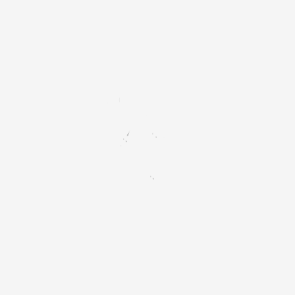 N[C@@H](CCC(=O)O)C(=O)NC(Cc1c[nH]c2ccccc12)C(=O)O